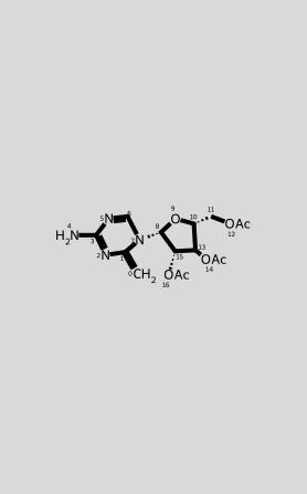 C=C1N=C(N)N=CN1[C@@H]1O[C@H](COC(C)=O)C(OC(C)=O)[C@@H]1OC(C)=O